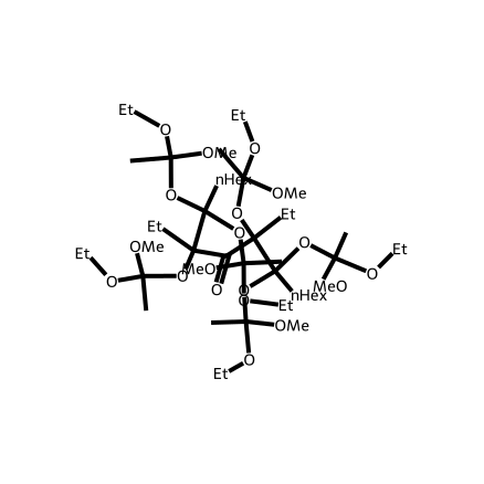 CCCCCCC(OC(C)(OC)OCC)(OC(C)(OC)OCC)C(CC)(OC(C)(OC)OCC)C(=O)C(CC)(OC(C)(OC)OCC)C(CCCCCC)(OC(C)(OC)OCC)OC(C)(OC)OCC